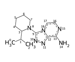 CC(C)C1CCCCN1c1nnc2c(N)nccn12